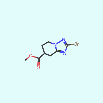 COC(=O)C1CCn2nc(Br)nc2C1